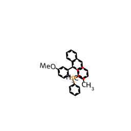 CC=C(C)c1ccc2ccccc2c1-c1cc(OC)ccc1P(c1ccccc1)c1ccccc1